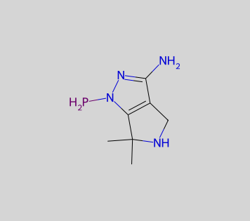 CC1(C)NCc2c(N)nn(P)c21